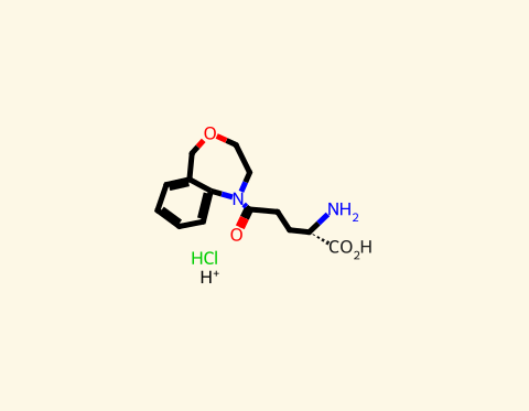 Cl.N[C@@H](CCC(=O)N1CCOCc2ccccc21)C(=O)O.[H+]